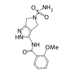 COc1ccccc1C(=O)Nc1[nH]nc2c1CN(S(N)(=O)=O)C2